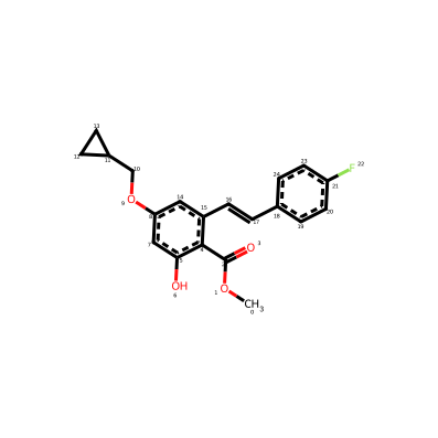 COC(=O)c1c(O)cc(OCC2CC2)cc1C=Cc1ccc(F)cc1